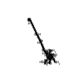 CCCC[C@H](NC(=O)CCNC(=O)[C@H](CO)NC(=O)[C@H](CCC(N)=O)NC(=O)[C@@H](CCCCN)NC(=O)[C@H](CO)NC(=O)[C@H](CCC(N)=O)NC(=O)[C@@H](CO)NC(=O)CNC(=O)COCCOCCNC(=O)COCCOCCNC(=O)CCCCCCCCCCCCCCCc1nnn[nH]1)C(C)=O